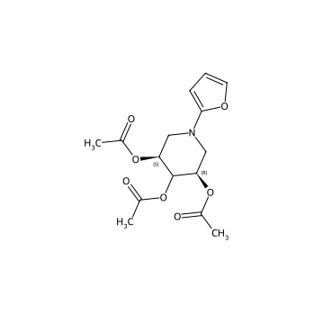 CC(=O)OC1[C@@H](OC(C)=O)CN(c2ccco2)C[C@H]1OC(C)=O